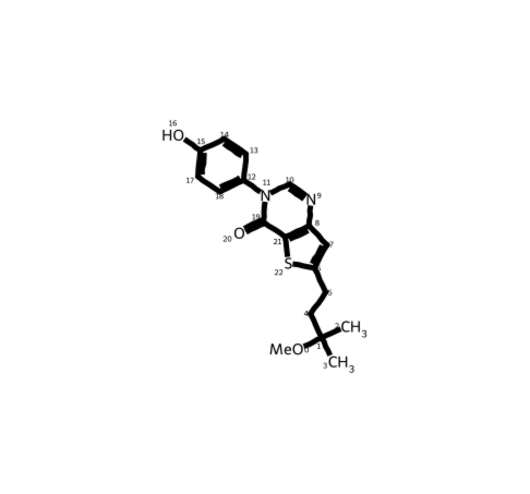 COC(C)(C)CCc1cc2ncn(-c3ccc(O)cc3)c(=O)c2s1